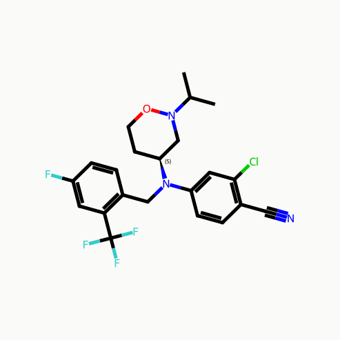 CC(C)N1C[C@@H](N(Cc2ccc(F)cc2C(F)(F)F)c2ccc(C#N)c(Cl)c2)CCO1